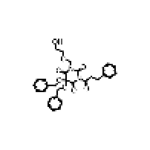 O=C(CCc1ccccc1)N1C(=O)N(COCCO)C(=O)C(OCc2ccccc2)(OCc2ccccc2)C1=O